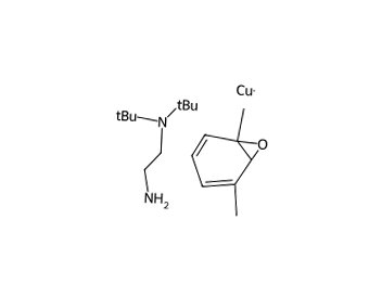 CC(C)(C)N(CCN)C(C)(C)C.CC1=CC=CC2(C)OC12.[Cu]